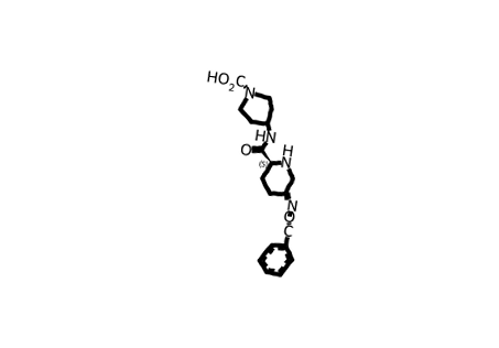 O=C(NC1CCN(C(=O)O)CC1)[C@@H]1CCC(=NOCc2ccccc2)CN1